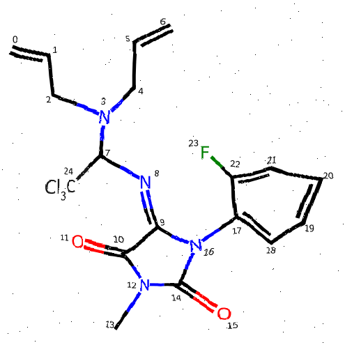 C=CCN(CC=C)C(N=C1C(=O)N(C)C(=O)N1c1ccccc1F)C(Cl)(Cl)Cl